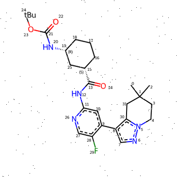 CC1(C)CCn2ncc(-c3cc(NC(=O)[C@H]4CCC[C@@H](NC(=O)OC(C)(C)C)C4)ncc3F)c2C1